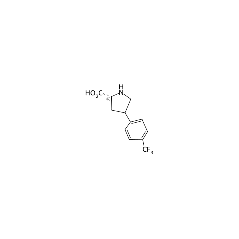 O=C(O)[C@H]1CC(c2ccc(C(F)(F)F)cc2)CN1